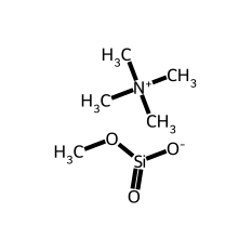 CO[Si](=O)[O-].C[N+](C)(C)C